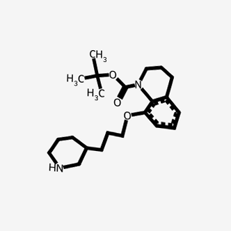 CC(C)(C)OC(=O)N1CCCc2cccc(OCCCC3CCCNC3)c21